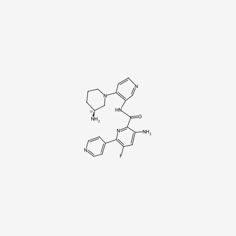 Nc1cc(F)c(-c2ccncc2)nc1C(=O)Nc1cnccc1N1CCC[C@H](N)C1